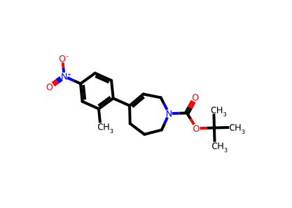 Cc1cc([N+](=O)[O-])ccc1C1=CCN(C(=O)OC(C)(C)C)CCC1